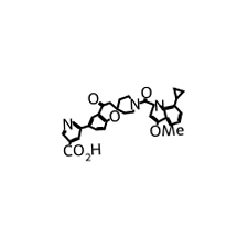 COc1cc(C(=O)N2CCC3(CC2)CC(=O)c2cc(-c4cncc(C(=O)O)c4)ccc2O3)nc2c(C3CC3)cccc12